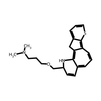 CN(C)CCCOCC1C=CC2=CC=CC3=C4SC=CC=C4CC3=C2N1